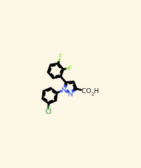 O=C(O)c1cc(-c2cccc(F)c2F)n(-c2cccc(Cl)c2)n1